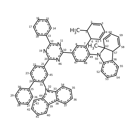 CC1C=CC=CC1c1cc(-c2nc(-c3ccccc3)nc(-c3ccc(-c4ccccc4)c(-n4c5ccccc5c5ccccc54)c3)n2)ccc1N1c2ccccc2C2C=CC=CC21C